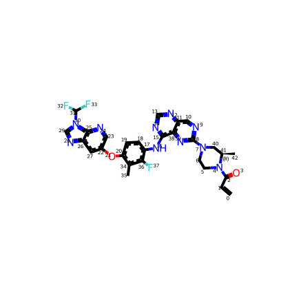 C=CC(=O)N1CCN(c2ncc3ncnc(Nc4ccc(Oc5cnc6c(c5)ncn6C(F)F)c(C)c4F)c3n2)C[C@H]1C